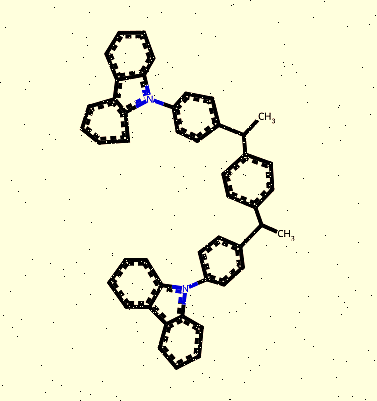 CC(c1ccc(C(C)c2ccc(-n3c4ccccc4c4ccccc43)cc2)cc1)c1ccc(-n2c3ccccc3c3ccccc32)cc1